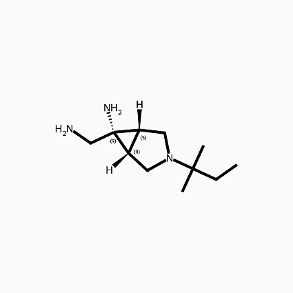 CCC(C)(C)N1C[C@@H]2[C@H](C1)[C@@]2(N)CN